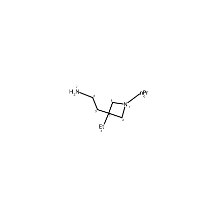 CCCN1CC(CC)(CCN)C1